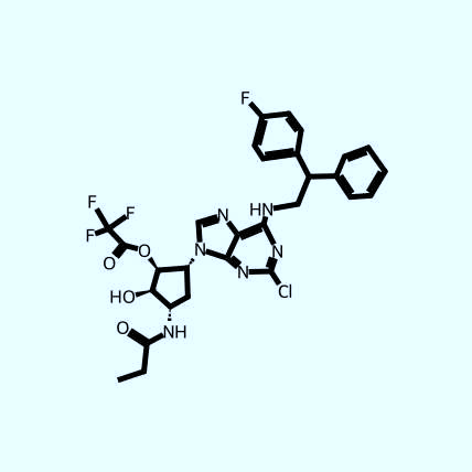 CCC(=O)N[C@H]1C[C@@H](n2cnc3c(NCC(c4ccccc4)c4ccc(F)cc4)nc(Cl)nc32)[C@H](OC(=O)C(F)(F)F)[C@@H]1O